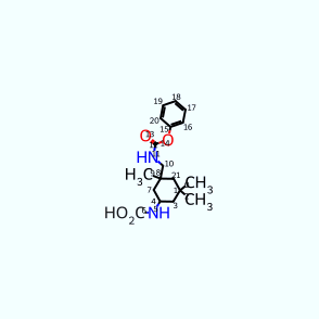 CC1(C)CC(NC(=O)O)CC(C)(CNC(=O)Oc2ccccc2)C1